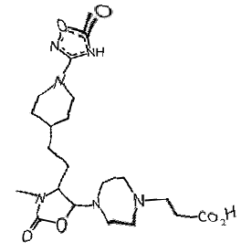 CN1C(=O)OC(N2CCN(CCC(=O)O)CC2)C1CCC1CCN(c2noc(=O)[nH]2)CC1